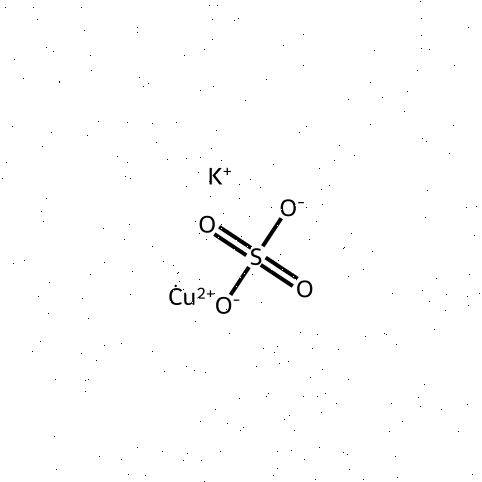 O=S(=O)([O-])[O-].[Cu+2].[K+]